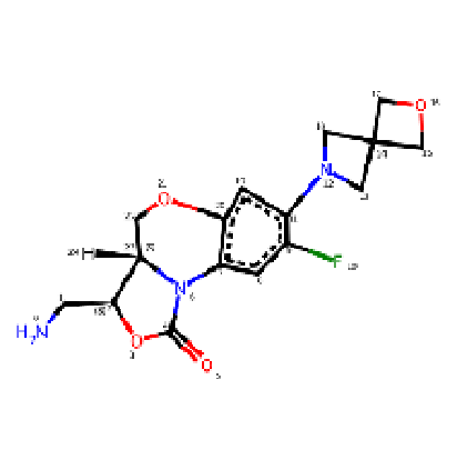 NC[C@@H]1OC(=O)N2c3cc(F)c(N4CC5(COC5)C4)cc3OC[C@@H]12